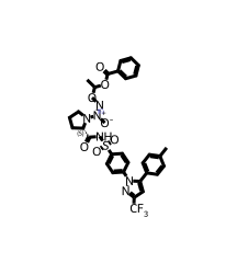 Cc1ccc(-c2cc(C(F)(F)F)nn2-c2ccc(S(=O)(=O)NC(=O)[C@@H]3CCCN3/[N+]([O-])=N\OC(C)OC(=O)c3ccccc3)cc2)cc1